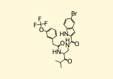 CC(C)C(=O)C(CNC(=O)c1cc2cc(Br)ccc2[nH]1)NC(=O)Cc1cccc(OC(F)(F)F)c1